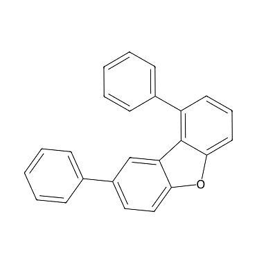 c1ccc(-c2ccc3oc4cccc(-c5ccccc5)c4c3c2)cc1